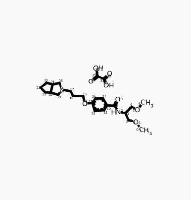 COCC(COC)NC(=O)c1ccc(OCCCN2CC3CCCC3C2)cc1.O=C(O)C(=O)O